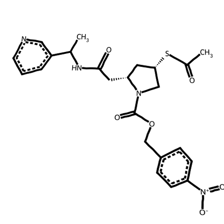 CC(=O)S[C@H]1C[C@@H](CC(=O)NC(C)c2cccnc2)N(C(=O)OCc2ccc([N+](=O)[O-])cc2)C1